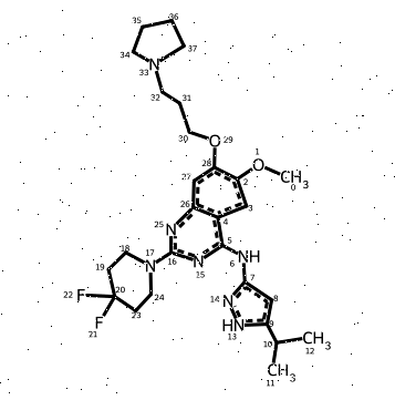 COc1cc2c(Nc3cc(C(C)C)[nH]n3)nc(N3CCC(F)(F)CC3)nc2cc1OCCCN1CCCC1